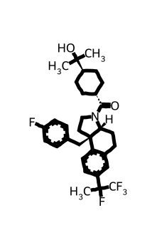 CC(F)(c1ccc2c(c1)CC[C@H]1N(C(=O)[C@H]3CC[C@H](C(C)(C)O)CC3)CC[C@@]21Cc1ccc(F)cc1)C(F)(F)F